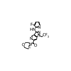 O=C(c1cc2c(cn1)c(Nc1ncccc1F)nn2CC(F)(F)F)N1CCCOCC1